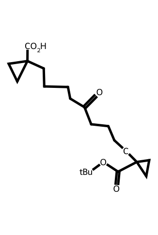 CC(C)(C)OC(=O)C1(CCCCC(=O)CCCCC2(C(=O)O)CC2)CC1